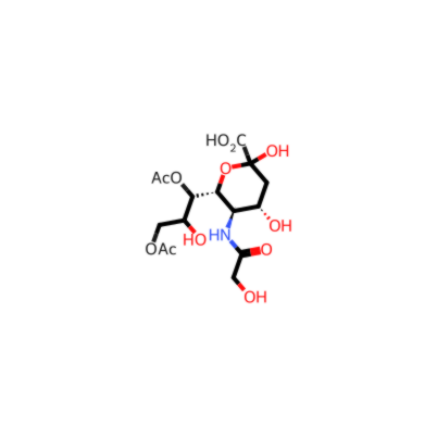 CC(=O)OCC(O)C(OC(C)=O)[C@@H]1OC(O)(C(=O)O)C[C@H](O)[C@H]1NC(=O)CO